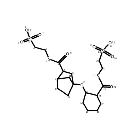 O=C(SCCS(=O)(=O)O)C1CC2(OC3CCCCC3C(=O)SCCS(=O)(=O)O)CCC1C2